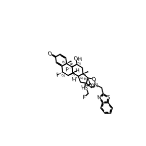 C[C@]12C=CC(=O)C=C1[C@@H](F)C[C@H]1[C@@H]3C[C@H]4CN(Cc5nc6ccccc6s5)O[C@@]4(C(=O)SCF)[C@@]3(C)C[C@H](O)[C@@]12F